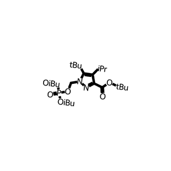 CC(C)COP(=O)(OCC(C)C)OCn1nc(C(=O)OC(C)(C)C)c(C(C)C)c1C(C)(C)C